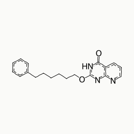 O=c1[nH]c(OCCCCCCc2ccccc2)nc2ncccc12